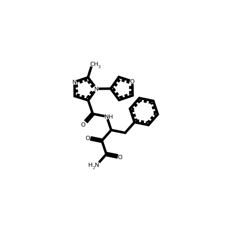 Cc1ncc(C(=O)NC(Cc2ccccc2)C(=O)C(N)=O)n1-c1ccoc1